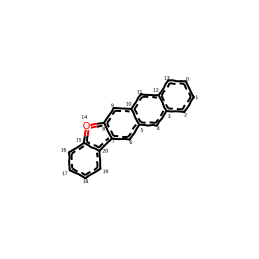 c1ccc2cc3cc4c(cc3cc2c1)oc1ccccc14